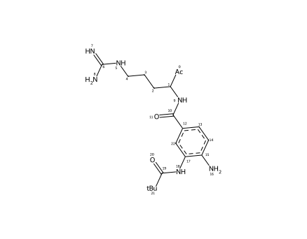 CC(=O)C(CCCNC(=N)N)NC(=O)c1ccc(N)c(NC(=O)C(C)(C)C)c1